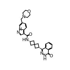 O=C(N[C@H]1CC2(C1)C[C@H](c1n[nH]c(=O)c3ccccc31)C2)c1cnn2cc(CN3CCOCC3)ccc12